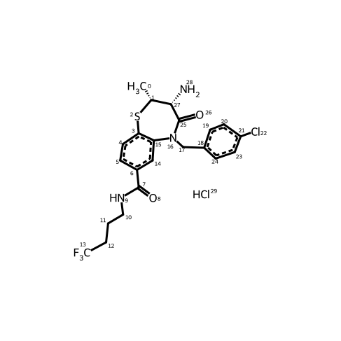 C[C@H]1Sc2ccc(C(=O)NCCCC(F)(F)F)cc2N(Cc2ccc(Cl)cc2)C(=O)[C@H]1N.Cl